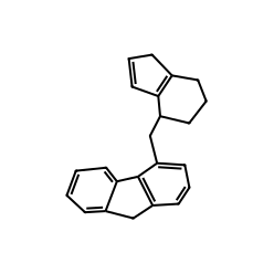 C1=CC2=C(C1)CCCC2Cc1cccc2c1-c1ccccc1C2